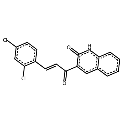 O=C(C=Cc1ccc(Cl)cc1Cl)c1cc2ccccc2[nH]c1=O